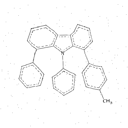 Cc1ccc(-c2cccc3c4cccc(-c5ccccc5)c4n(-c4ccccc4)c23)cc1